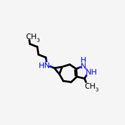 CCCCCNC1C2CCC3=C(CC21)NNC3C